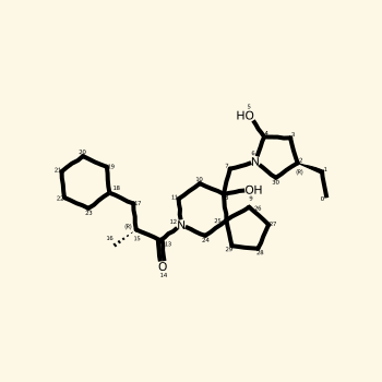 CC[C@@H]1CC(O)N(CC2(O)CCN(C(=O)[C@H](C)CC3CCCCC3)CC23CCCC3)C1